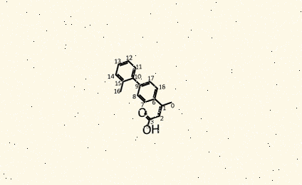 C/C(=C/C(=O)O)c1ccc(-c2ccccc2C)cc1